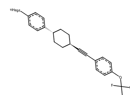 CCCCCCCc1ccc([C@H]2CC[C@H](C#Cc3ccc(OC(F)(F)C(F)F)cc3)CC2)cc1